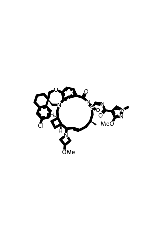 COc1nn(C)cc1C(=O)/N=C\S1(=O)=NC(=O)c2ccc3c(c2)N(C[C@@H]2CC[C@H]2C(N2CC(OC)C2)/C=C/C[C@H](C)C1)C[C@@]1(CCCc2cc(Cl)ccc21)CO3